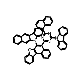 c1ccc2cc3c(cc2c1)c1ccccc1n3-c1c(-c2nc(-c3cccc4ccccc34)nc(-n3c4ccccc4c4ccccc43)n2)c2ccccc2c2c1oc1ccccc12